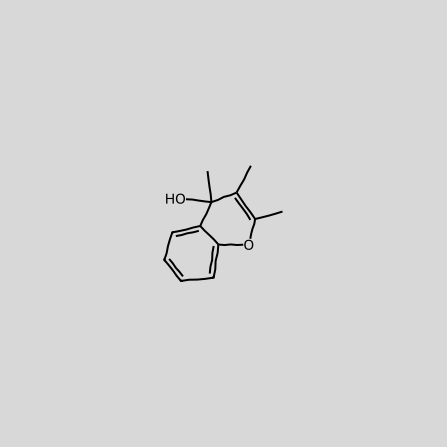 CC1=C(C)C(C)(O)c2ccccc2O1